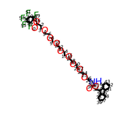 O=C(CCOCCOCCOCCOCCOCCOCCOCCOCCNC(=O)OCC1c2ccccc2-c2ccccc21)Oc1c(F)c(F)c(F)c(F)c1F